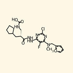 CN(Cc1ccco1)c1nc(Cl)nc(NNC(=O)[C@@H](CNC(=O)O)CC2CCCC2)c1F